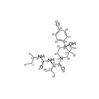 CCC(C)NC(=O)N[C@@H](C(=O)N1CC[C@](O)(c2ccc(Cl)cc2)C(C)(C)C1)C(C)C